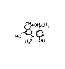 C=Cc1c(CO)cc(OC)cc1CO.C=Cc1ccc(O)cc1